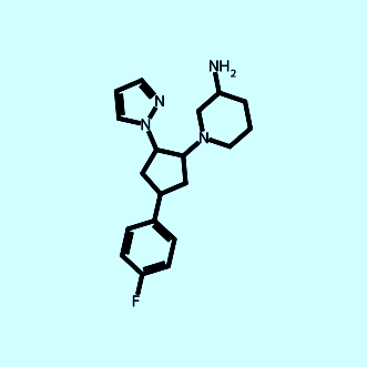 NC1CCCN(C2CC(c3ccc(F)cc3)CC2n2cccn2)C1